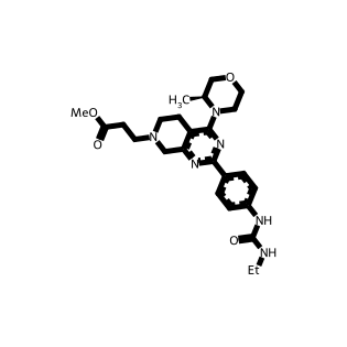 CCNC(=O)Nc1ccc(-c2nc3c(c(N4CCOC[C@@H]4C)n2)CCN(CCC(=O)OC)C3)cc1